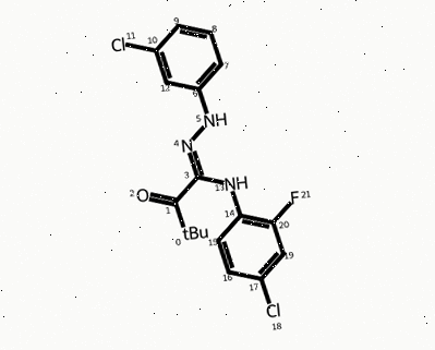 CC(C)(C)C(=O)/C(=N/Nc1cccc(Cl)c1)Nc1ccc(Cl)cc1F